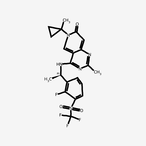 Cc1nc(N[C@H](C)c2cccc(S(=O)(=O)C(F)(F)F)c2F)c2cn(C3(C)CC3)c(=O)cc2n1